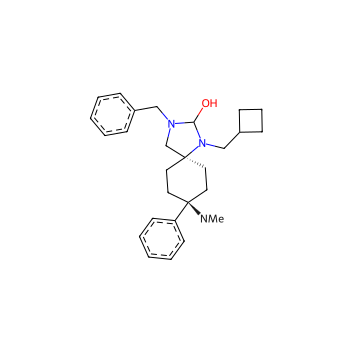 CN[C@]1(c2ccccc2)CC[C@]2(CC1)CN(Cc1ccccc1)C(O)N2CC1CCC1